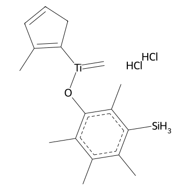 Cl.Cl.[CH2]=[Ti]([O]c1c(C)c(C)c(C)c([SiH3])c1C)[C]1=C(C)C=CC1